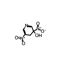 O=[N+]([O-])C1=CN=CC(O)([N+](=O)[O-])C1